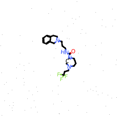 O=C(NCCCN1CCc2ccccc2C1)N1CCCN(CCC(F)(F)F)CC1